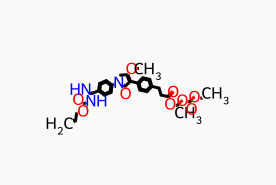 C=CCOC(=O)NC(=N)c1ccc(N2CC(OC)=C(c3ccc(CCC(=O)OC(C)OC(=O)OCC)cc3)C2=O)cc1